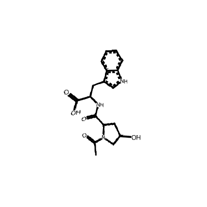 CC(=O)N1CC(O)CC1C(=O)NC(Cc1c[nH]c2ccccc12)C(=O)O